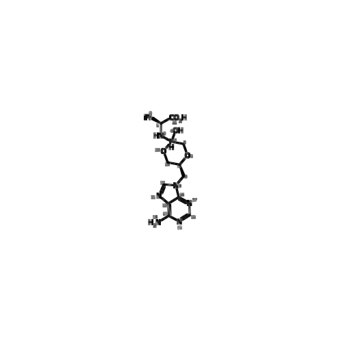 CC(C)[C@H](N[PH]1(O)CO[C@@H](Cn2cnc3c(N)ncnc32)CO1)C(=O)O